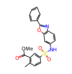 COC(=O)c1cc(S(=O)(=O)Nc2ccc3nc(-c4ccccc4)oc3c2)ccc1C